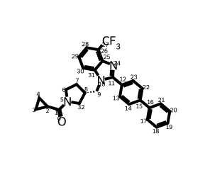 O=C(C1CC1)N1CC[C@H](Cn2c(-c3ccc(-c4ccccc4)cc3)nc3c(C(F)(F)F)cccc32)C1